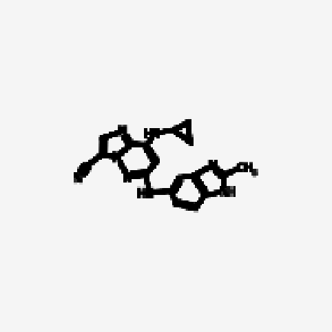 Cc1nc2cc(Nc3cc(NC4CC4)c4ncc(C#N)n4n3)ccc2[nH]1